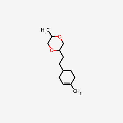 CC1=CCC(CCC2COC(C)CO2)CC1